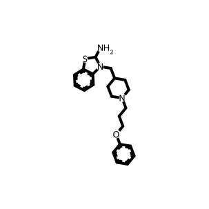 NC1Sc2ccccc2N1CC1CCN(CCCOc2ccccc2)CC1